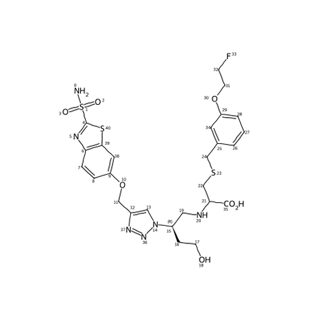 NS(=O)(=O)c1nc2ccc(OCc3cn([C@H](CCO)CNC(CSCc4cccc(OCCF)c4)C(=O)O)nn3)cc2s1